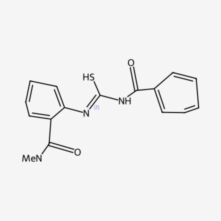 CNC(=O)c1ccccc1/N=C(\S)NC(=O)c1ccccc1